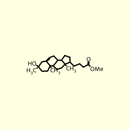 COC(=O)CCCC1CCC2C3CC=C4C[C@@](C)(O)CCC4(C)C3CCC12C